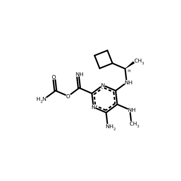 CNc1c(N)nc(C(=N)OC(N)=O)nc1N[C@H](C)C1CCC1